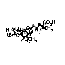 Cc1c(C)c2c(c(C)c1O[Si](C)(C)C(C)(C)C)SC(CCCC(C)(C)C(=O)O)O2